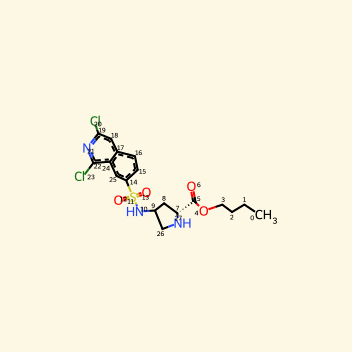 CCCCOC(=O)[C@H]1CC(NS(=O)(=O)c2ccc3cc(Cl)nc(Cl)c3c2)CN1